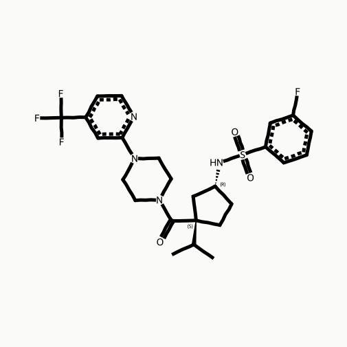 CC(C)[C@]1(C(=O)N2CCN(c3cc(C(F)(F)F)ccn3)CC2)CC[C@@H](NS(=O)(=O)c2cccc(F)c2)C1